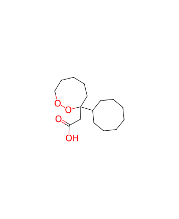 O=C(O)CC1(C2CCCCCCC2)CCCCCOO1